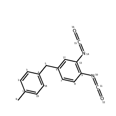 Cc1ccc(Cc2ccc(N=C=O)c(N=C=O)c2)cc1